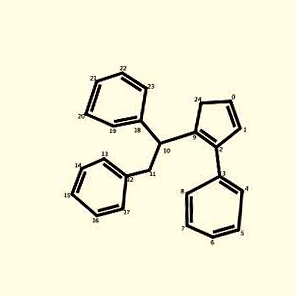 C1=CC(c2ccccc2)=C(C(Cc2ccccc2)c2ccccc2)C1